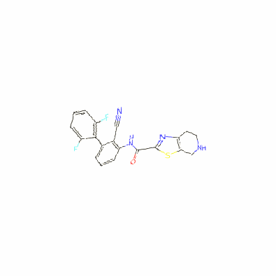 N#Cc1c(NC(=O)c2nc3c(s2)CNCC3)cccc1-c1c(F)cccc1F